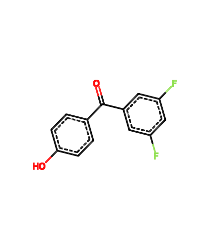 O=C(c1ccc(O)cc1)c1cc(F)cc(F)c1